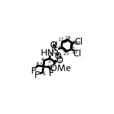 COC(=O)C(CC(CF)(CF)CF)NS(=O)(=O)c1ccc(Cl)c(Cl)c1